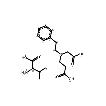 CC(C)[C@@H](N)C(=O)O.O=C(O)CCN(CCc1ccccc1)CC(=O)O